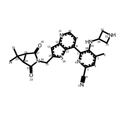 Cc1cc(C#N)nc(-c2ccnc3cc(CN4C(=O)C5C(C4=O)C5(C)C)sc23)c1NC1CNC1